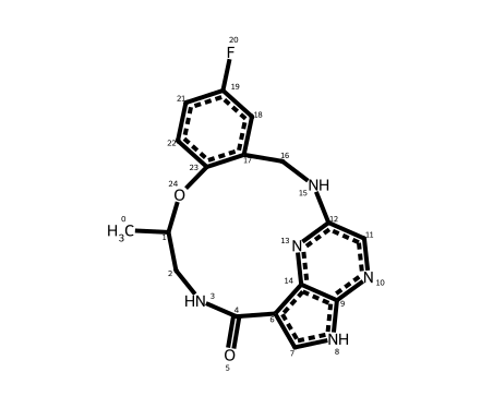 CC1CNC(=O)c2c[nH]c3ncc(nc23)NCc2cc(F)ccc2O1